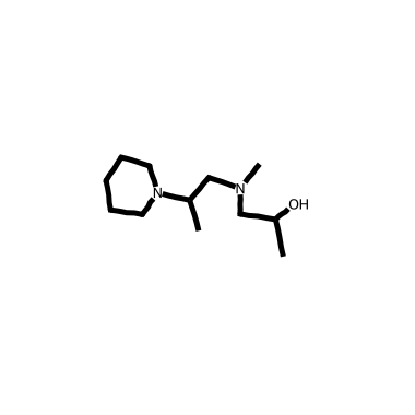 CC(O)CN(C)CC(C)N1CCCCC1